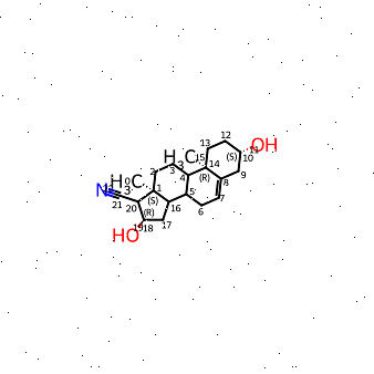 C[C@]12CCC3C(CC=C4C[C@@H](O)CC[C@@]43C)C1C[C@@H](O)C2C#N